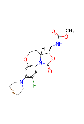 COC(=O)NC[C@H]1OC(=O)N2c3cc(F)c(N4CCSCC4)cc3OCC[C@H]12